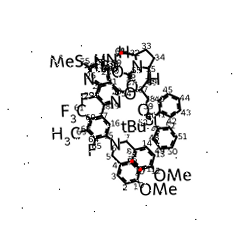 COc1ccc(CN(Cc2ccc(OC)cc2)c2cc(-c3nc4c5c(nc(SC)nc5c3F)NC[C@H]3CC[C@@H](CC(CO[Si](c5ccccc5)(c5ccccc5)C(C)(C)C)O4)N3C(=O)OC(C)(C)C)c(C(F)(F)F)c(C)c2F)cc1